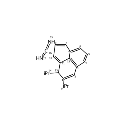 CC(C)C1=Cc2cccc3cccc(c23)C1C(C)C.N=C=N